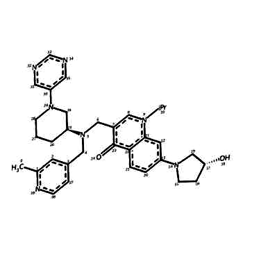 Cc1cc(CN(Cc2cn(C(C)C)c3cc(N4CC[C@@H](O)C4)ccc3c2=O)[C@H]2CCCN(c3cncnc3)C2)ccn1